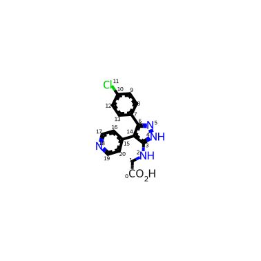 O=C(O)CNc1[nH]nc(-c2ccc(Cl)cc2)c1-c1ccncc1